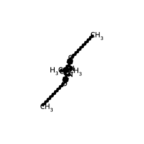 CCCCCCCCCCCCCCCCCCOc1ccc(C(C#N)=Cc2cc(OC)c(C=C(C#N)c3ccc(OCCCCCCCCCCCCCCCCCC)cc3)cc2OC)cc1